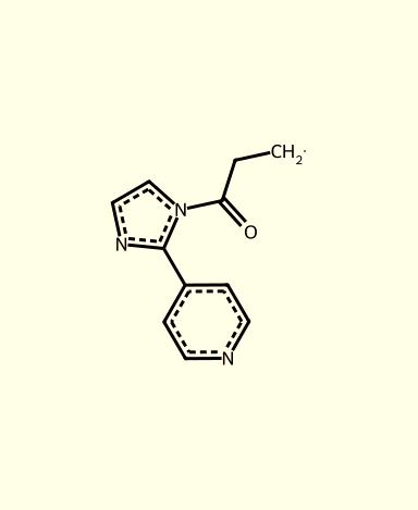 [CH2]CC(=O)n1ccnc1-c1ccncc1